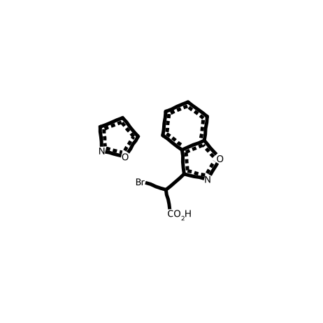 O=C(O)C(Br)c1noc2ccccc12.c1cnoc1